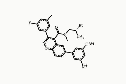 CC[C@H](N)CN(C)C(=O)c1c(-c2cc(C)cc(F)c2)cnc2ccc(-c3cc(C#N)cc(OC)c3)cc12